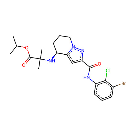 CC(C)OC(=O)C(C)(C)N[C@H]1CCCn2nc(C(=O)Nc3cccc(Br)c3Cl)cc21